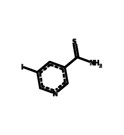 NC(=S)c1cncc(I)c1